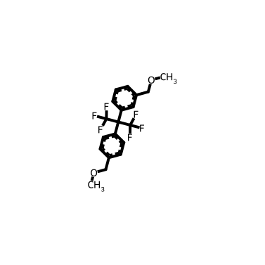 COCc1ccc(C(c2cccc(COC)c2)(C(F)(F)F)C(F)(F)F)cc1